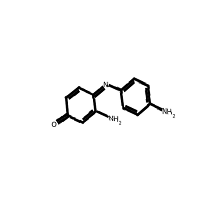 NC1=CC(=O)C=C/C1=N/c1ccc(N)cc1